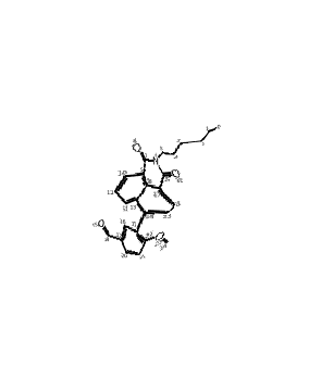 CCCCCCN1C(=O)c2cccc3c(-c4cc(C=O)ccc4OC)ccc(c23)C1=O